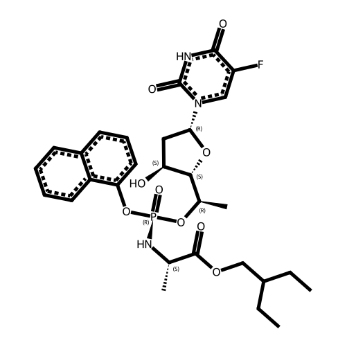 CCC(CC)COC(=O)[C@H](C)N[P@](=O)(Oc1cccc2ccccc12)O[C@H](C)[C@H]1O[C@@H](n2cc(F)c(=O)[nH]c2=O)C[C@@H]1O